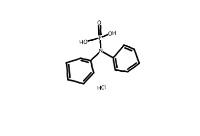 Cl.O=P(O)(O)N(c1ccccc1)c1ccccc1